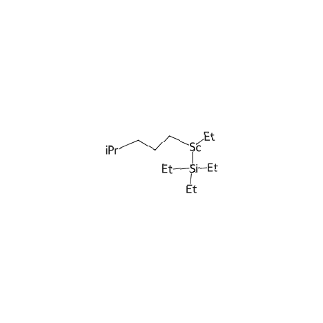 C[CH2][Sc]([CH2]CCC(C)C)[Si](CC)(CC)CC